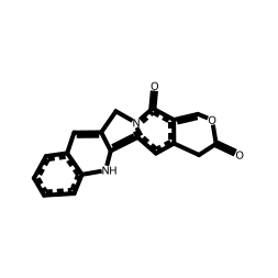 O=C1Cc2cc3n(c(=O)c2=CO1)CC1=Cc2ccccc2NC=31